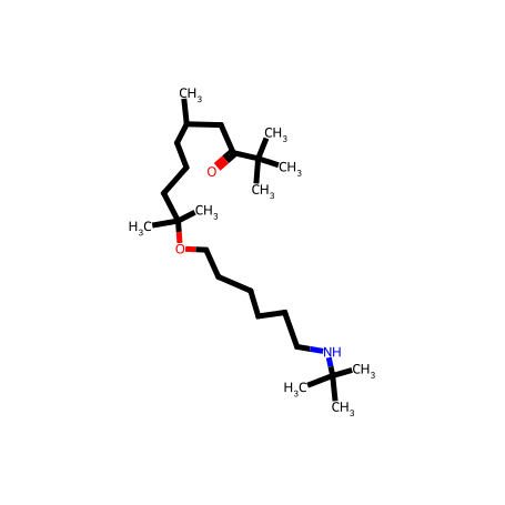 CC(CCCC(C)(C)OCCCCCCNC(C)(C)C)CC(=O)C(C)(C)C